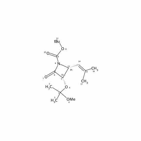 COC(C)(C)O[C@@H]1C(=O)N(C(=O)OC(C)(C)C)[C@@H]1C=C(C)C